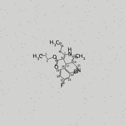 CCCOC(=O)C1=C(CCC)NC(C)=C(C#N)C1c1ccc(F)cc1Br